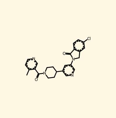 Cc1ccncc1C(=O)N1CCC(c2cncc(N3Cc4cc(Cl)ccc4C3=O)c2)CC1